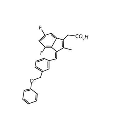 CC1=C(CC(=O)O)c2cc(F)cc(F)c2/C1=C\c1cccc(COc2ccccc2)c1